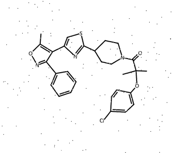 Cc1onc(-c2ccccc2)c1-c1csc(C2CCN(C(=O)C(C)(C)Oc3ccc(Cl)cc3)CC2)n1